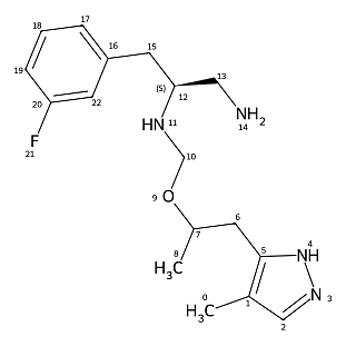 Cc1cn[nH]c1CC(C)OCN[C@H](CN)Cc1cccc(F)c1